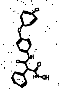 O=C(NO)C(C(=O)Nc1ccc(Oc2ccc(Cl)cc2)cc1)c1ccccc1